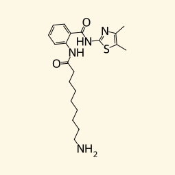 Cc1nc(NC(=O)c2ccccc2NC(=O)CCCCCCCCN)sc1C